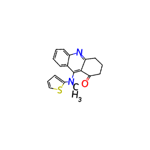 CN(c1cccs1)c1c2c(nc3ccccc13)CCCC2=O